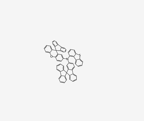 c1ccc2c(c1)Oc1ccc(N(c3ccc4c(c3)C3(c5ccccc5-c5ccccc53)c3ccccc3-4)c3cccc4sc5ccccc5c34)cc1C21c2ccccc2-c2ccccc21